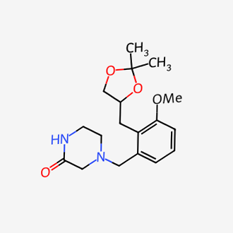 COc1cccc(CN2CCNC(=O)C2)c1CC1COC(C)(C)O1